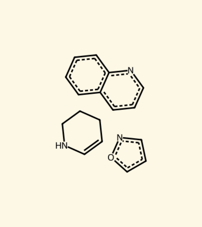 C1=CNCCC1.c1ccc2ncccc2c1.c1cnoc1